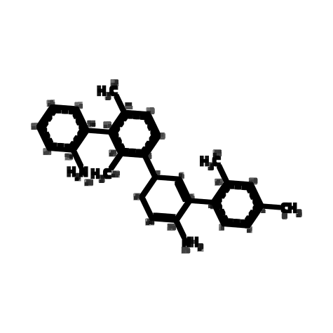 Cc1ccc(C2=CC(c3ccc(C)c(-c4ccccc4N)c3C)CC=C2N)c(C)c1